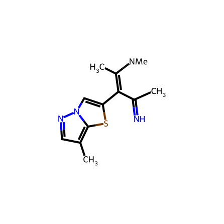 CN/C(C)=C(\C(C)=N)c1cn2ncc(C)c2s1